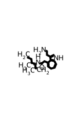 C=CCC(C)[C@@H](NC(=O)CC1=CCC=Cc2[nH]cc(CCN)c21)C(=C)C